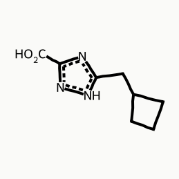 O=C(O)c1n[nH]c(CC2CCC2)n1